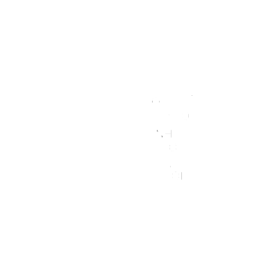 CC(C)(C)OC(=O)NCC(CC(=O)O)c1cccc(-c2ccccc2)c1